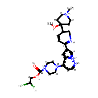 CCOC1(C2C=CC(c3cc4c(N5CCN(C(=O)OCC(F)F)CC5)ccnn4c3)=NC2)CCN(C(C)C)CC1